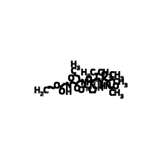 C=CCOC(=O)CNC(=O)C(=O)C(CCC)NC(=O)[C@@H]1CCCN1C(=O)[C@@H](NC(=O)[C@@H](NC(C)=O)C(C)C)C(C)C